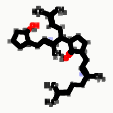 CC(C)=CCC/C(C)=C/CC1CCC(C(CC=C(C)C)/C(C)=C/CC2CCCC2O)C1=O